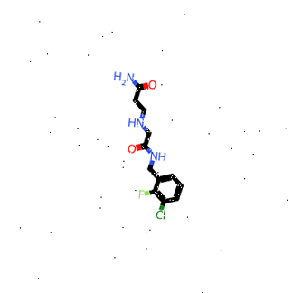 NC(=O)CCNCC(=O)NCc1cccc(Cl)c1F